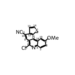 COc1ccc2nc(Cl)c(C=C(C#N)c3ccsc3)cc2c1